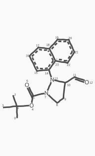 CC(C)(C)OC(=O)N1CCC(C=O)N1c1cccc2ccccc12